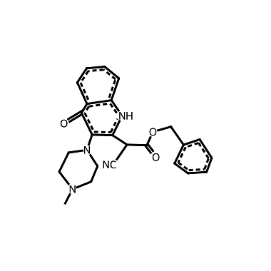 CN1CCN(c2c(C(C#N)C(=O)OCc3ccccc3)[nH]c3ccccc3c2=O)CC1